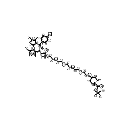 Cc1sc2c(c1C)C(c1ccc(Cl)cc1)=N[C@@H](CC(=O)NCCOCCOCCOCCOCCOC1CCN(C(=O)OC(C)(C)C)CC1)c1nnc(C)n1-2